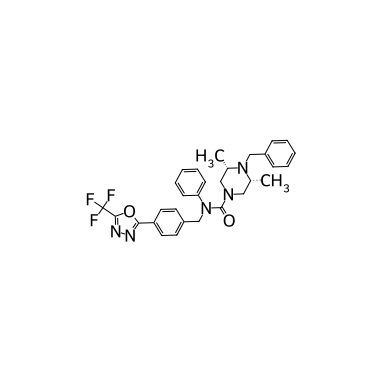 C[C@@H]1CN(C(=O)N(Cc2ccc(-c3nnc(C(F)(F)F)o3)cc2)c2ccccc2)C[C@H](C)N1Cc1ccccc1